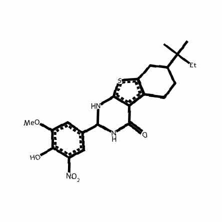 CCC(C)(C)C1CCc2c(sc3c2C(=O)NC(c2cc(OC)c(O)c([N+](=O)[O-])c2)N3)C1